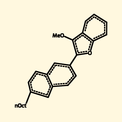 CCCCCCCCc1ccc2cc(-c3oc4ccccc4c3OC)ccc2c1